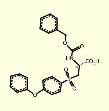 O=C(N[C@@H](CS(=O)(=O)c1ccc(Oc2ccccc2)cc1)C(=O)O)OCc1ccccc1